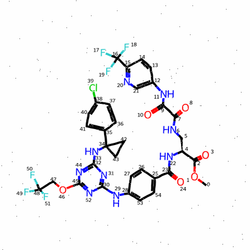 COC(=O)[C@H](CNC(=O)C(=O)Nc1ccc(C(F)(F)F)nc1)NC(=O)c1ccc(Nc2nc(NC3(c4ccc(Cl)cc4)CC3)nc(OCC(F)(F)F)n2)cc1